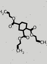 C=CCOC(=O)C1CCC(C(=O)OCC=C)C(C(=O)OCC=C)C1